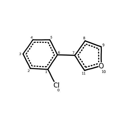 Clc1ccccc1-c1ccoc1